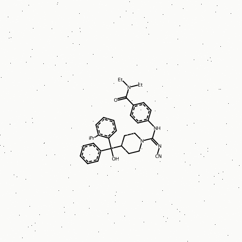 CCN(CC)C(=O)c1ccc(N/C(=N/C#N)N2CCC(C(O)(c3ccccc3)c3ccccc3C(C)C)CC2)cc1